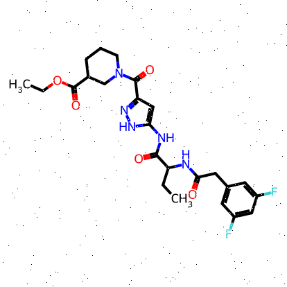 CCOC(=O)C1CCCN(C(=O)c2cc(NC(=O)C(CC)NC(=O)Cc3cc(F)cc(F)c3)[nH]n2)C1